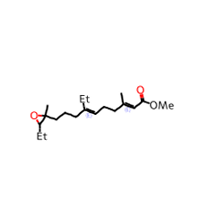 CC/C(=C\CC/C(C)=C/C(=O)OC)CCCC1(C)OC1CC